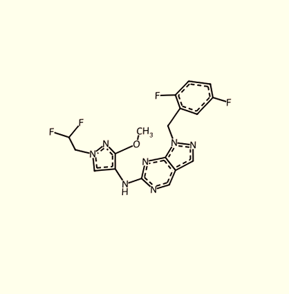 COc1nn(CC(F)F)cc1Nc1ncc2cnn(Cc3cc(F)ccc3F)c2n1